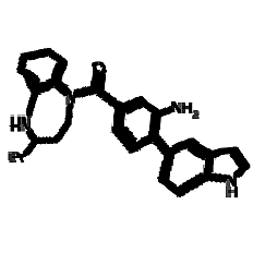 CC(C)C1CCN(C(=O)c2ccc(-c3ccc4[nH]ccc4c3)c(N)c2)c2ccccc2N1